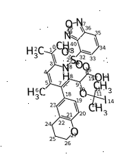 CC(C)=C(/C=C(C)\C(=C\C(OC(C)(C)I)C(=O)O)c1ccc2c(c1)CCCO2)NS(=O)(=O)c1cccc2nonc12